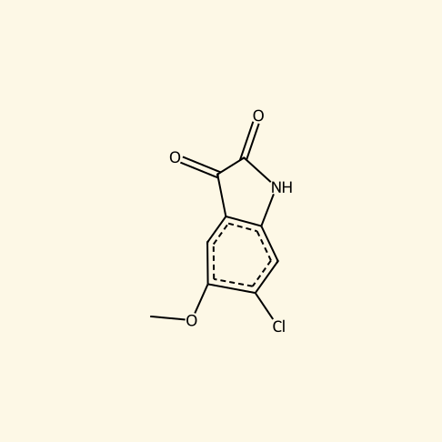 COc1cc2c(cc1Cl)NC(=O)C2=O